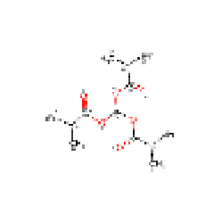 CC(C)C(C)C(=O)OB(OC(=O)C(C)C(C)C)OC(=O)C(C)C(C)C